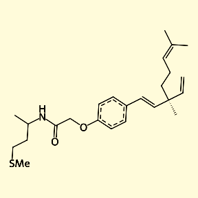 C=C[C@@](C)(/C=C/c1ccc(OCC(=O)NC(C)CCSC)cc1)CCC=C(C)C